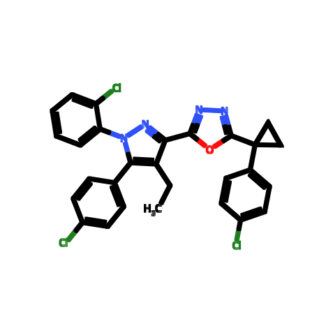 CCc1c(-c2nnc(C3(c4ccc(Cl)cc4)CC3)o2)nn(-c2ccccc2Cl)c1-c1ccc(Cl)cc1